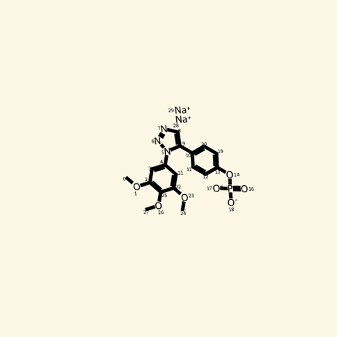 COc1cc(-n2nncc2-c2ccc(OP(=O)([O-])[O-])cc2)cc(OC)c1OC.[Na+].[Na+]